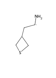 N[CH]CC1CSC1